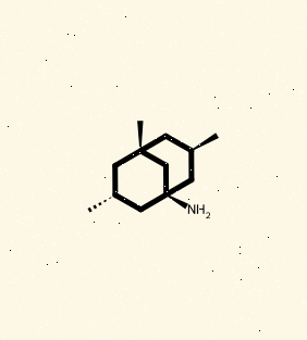 C[C@@H]1C[C@]2(C)C[C@@H](C)C[C@](N)(C1)C2